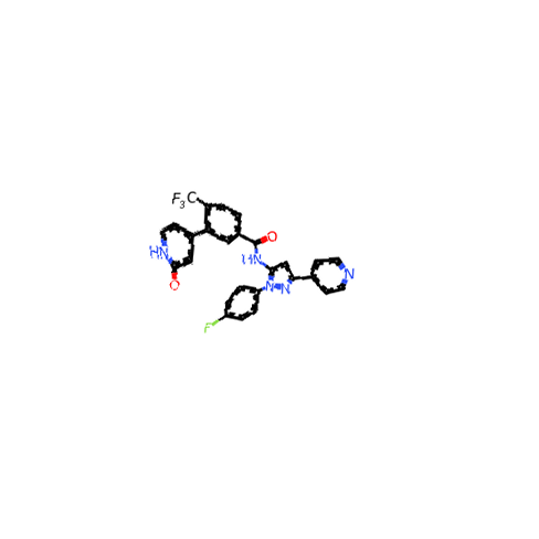 O=C(Nc1cc(-c2ccncc2)nn1-c1ccc(F)cc1)c1ccc(C(F)(F)F)c(-c2cc[nH]c(=O)c2)c1